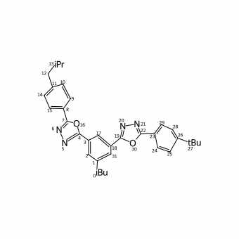 CCC(C)c1cc(-c2nnc(-c3ccc(CC(C)C)cc3)o2)cc(-c2nnc(-c3ccc(C(C)(C)C)cc3)o2)c1